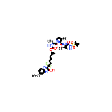 CC[C@@H]1CCN(C(=O)[C@@H](NC(=O)O[C@@H]2C[C@H]2CCCCC(F)(F)c2nc3ccc(OC)cc3nc2O)C(C)(C)C)[C@@H]1C(=O)NC1(C(=O)NS(=O)(=O)C2(C)CC2)C[C@H]1CC